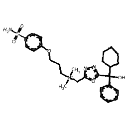 C[N+](C)(CCCOc1ccc(S(N)(=O)=O)cc1)Cc1nnc(C(O)(c2ccccc2)C2CCCCC2)o1